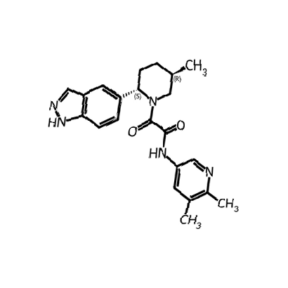 Cc1cc(NC(=O)C(=O)N2C[C@H](C)CC[C@H]2c2ccc3[nH]ncc3c2)cnc1C